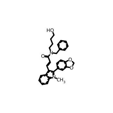 Cn1c(-c2ccc3c(c2)OCO3)c(C=CC(=O)N(CCCCO)Cc2ccccc2)c2ccccc21